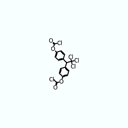 O=C(Cl)Oc1ccc(C(c2ccc(OC(=O)Cl)cc2)C(Cl)(Cl)Cl)cc1